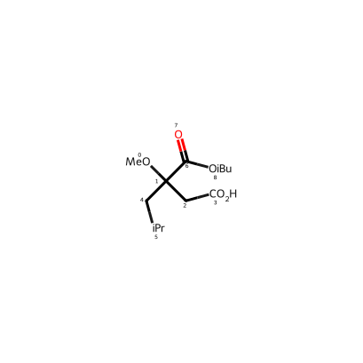 COC(CC(=O)O)(CC(C)C)C(=O)OCC(C)C